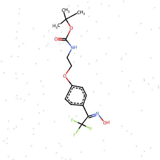 CC(C)(C)OC(=O)NCCOc1ccc(/C(=N/O)C(F)(F)F)cc1